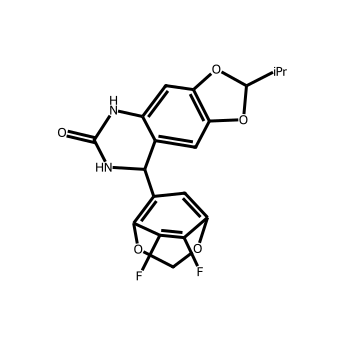 CC(C)C1Oc2cc3c(cc2O1)C(c1cc2c(F)c(F)c1OCO2)NC(=O)N3